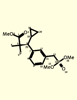 COC(=O)C(C)(F)[C@H](c1cccc(CP(=O)(OC)OC)c1)C1CC1